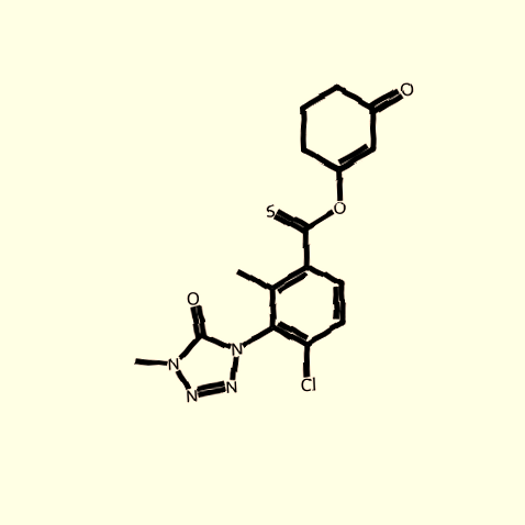 Cc1c(C(=S)OC2=CC(=O)CCC2)ccc(Cl)c1-n1nnn(C)c1=O